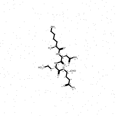 NCCCC[C@H](N)C(=O)N[C@@H](CC(N)=O)C(=O)N[C@@H](CCC(=O)O)C(=O)N[C@H]([C]=O)CCC(N)=O